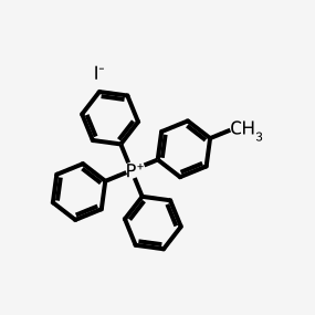 Cc1ccc([P+](c2ccccc2)(c2ccccc2)c2ccccc2)cc1.[I-]